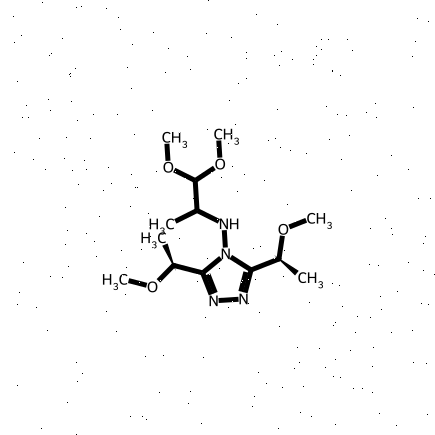 COC(OC)C(C)Nn1c([C@H](C)OC)nnc1[C@H](C)OC